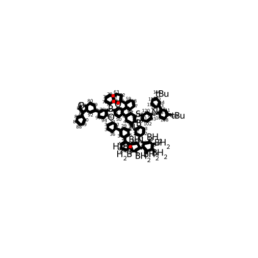 Bc1c(B)c(B)c2c(c1B)c1c(B)c(B)c(B)c(B)c1n2-c1ccc2c(c1)N(c1cc(-c3ccccc3)cc(-c3ccccc3)c1)c1cc(-c3cc4c5c(c3-c3ccccc3-c3ccccc3)Oc3ccccc3B5c3cc(-c5ccc6occ(-c7ccccc7)c6c5)ccc3O4)cc3c1B2c1ccc(-n2c4ccc(C(C)(C)C)cc4c4cc(C(C)(C)C)ccc42)cc1S3